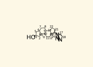 C[C@]12CC(O)CC1CCC1C2CC[C@]2(C)C(n3ccnn3)=CCC12